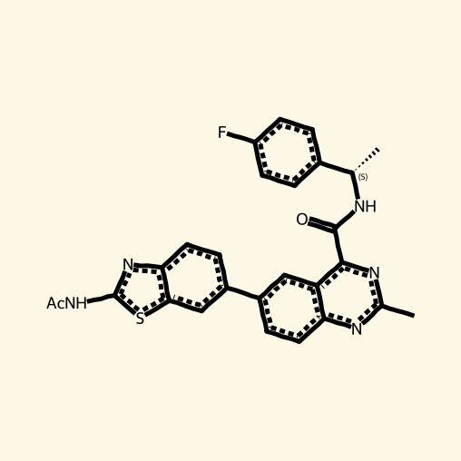 CC(=O)Nc1nc2ccc(-c3ccc4nc(C)nc(C(=O)N[C@@H](C)c5ccc(F)cc5)c4c3)cc2s1